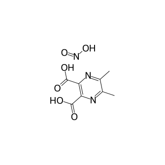 Cc1nc(C(=O)O)c(C(=O)O)nc1C.O=NO